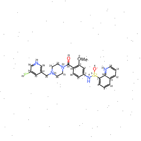 COc1cc(N[S+]([O-])c2cccc3cccnc23)ccc1C(=O)N1CCN(Cc2cncc(F)c2)CC1